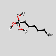 CCO[Si](CCCCCNC)(OCC)OCC